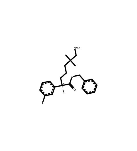 CNCC(C)(C)CCC[C@@](C)(C(=O)OCc1ccccc1)c1cccc(I)c1